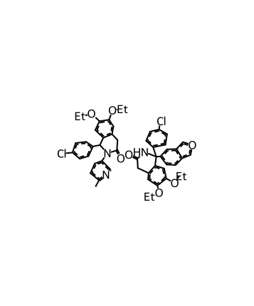 CCOc1cc2c(cc1OCC)C(c1ccc(Cl)cc1)(c1ccc3cocc3c1)NC(=O)C2.CCOc1cc2c(cc1OCC)C(c1ccc(Cl)cc1)N(c1ccc(C)nc1)C(=O)C2